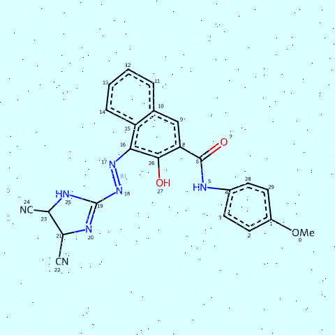 COc1ccc(NC(=O)c2cc3ccccc3c(/N=N/C3=NC(C#N)C(C#N)N3)c2O)cc1